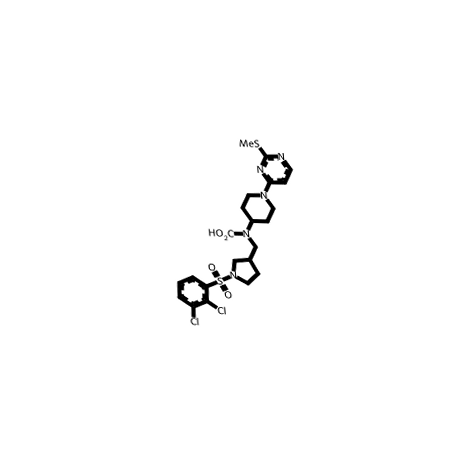 CSc1nccc(N2CCC(N(CC3CCN(S(=O)(=O)c4cccc(Cl)c4Cl)C3)C(=O)O)CC2)n1